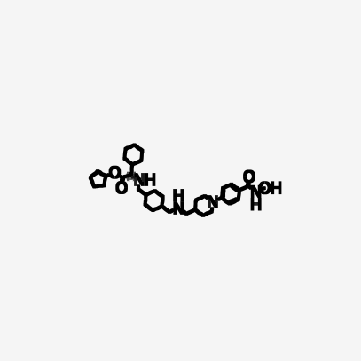 O=C(NO)c1ccc(N2CCC(CNCC3CCC(CN[C@H](C(=O)OC4CCCC4)C4CCCCC4)CC3)CC2)cc1